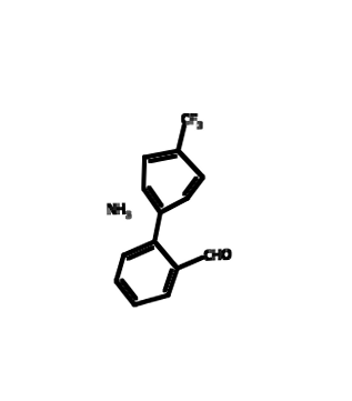 N.O=Cc1ccccc1-c1ccc(C(F)(F)F)cc1